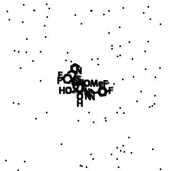 CO[C@@H]1[C@@H](n2cc(-c3ccc(F)c(F)c3)nn2)[C@@H](O)[C@@H](CO)O[C@H]1S[C@@H](c1ncccc1C)C1(O)CCC(F)(F)CC1